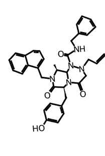 C=CCN1CC(=O)N2C([C@H](C)N(Cc3cccc4ccccc34)C(=O)[C@@H]2Cc2ccc(O)cc2)N1C(=O)NCc1ccccc1